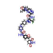 O=C1CC[C@H](c2coc3cc(NC(=O)CN4CCN(CC5CCC(n6cc(NC(=O)c7cnn8ccc(N9C[C@H]%10C[C@@H]9CO%10)nc78)c(C(F)F)n6)CC5)CC4)ccc23)C(=O)N1